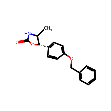 CC1NC(=O)O[C@H]1c1ccc(OCc2ccccc2)cc1